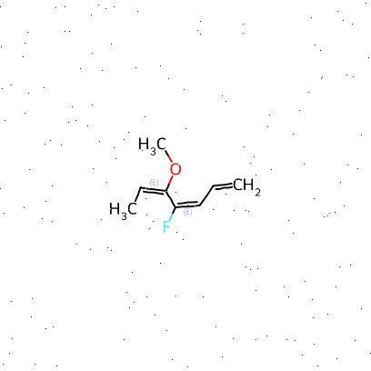 C=C/C=C(F)\C(=C/C)OC